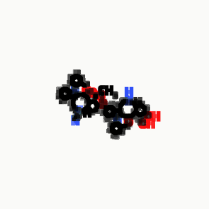 COC(=O)[C@@H]1C2CC3OCc4ccccc4-n4c3c(c3ccccc34)CCN(C#N)C[C@@H]2CC[C@@H]1Oc1ccc2c(c1)c1c3n2-c2ccccc2COC3CC2[C@@H](CC[C@H](O)[C@@H]2CO)CNCC1